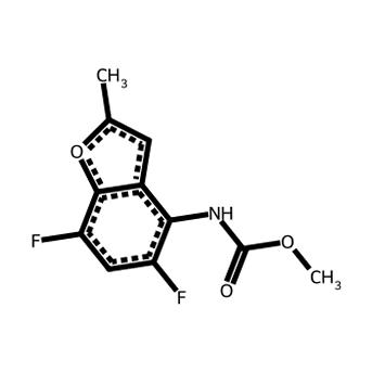 COC(=O)Nc1c(F)cc(F)c2oc(C)cc12